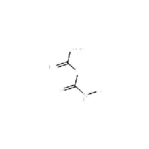 C=C(OC(=O)NCC)C(=O)OCC